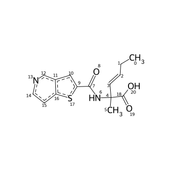 CCC=CC(C)(NC(=O)c1cc2cnccc2s1)C(=O)O